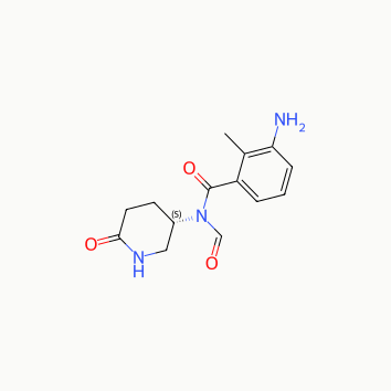 Cc1c(N)cccc1C(=O)N(C=O)[C@H]1CCC(=O)NC1